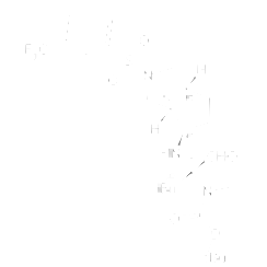 CC[C@H](C)[C@](C=O)(N[C@@H]1CC[C@H]2CN(S(=O)(=O)c3cccc(C(F)(F)F)c3)C[C@H]21)N(C)C(=O)OC(C)(C)C